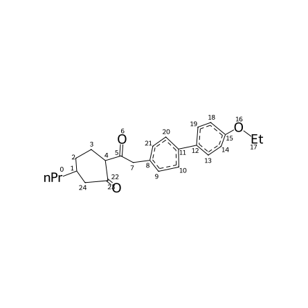 CCCC1CCC(C(=O)Cc2ccc(-c3ccc(OCC)cc3)cc2)C(=O)C1